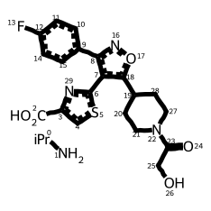 CC(C)N.O=C(O)c1csc(-c2c(-c3ccc(F)cc3)noc2C2CCN(C(=O)CO)CC2)n1